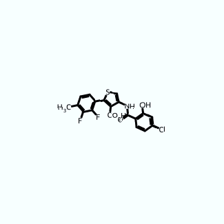 Cc1ccc(-c2scc(NC(=O)c3ccc(Cl)cc3O)c2C(=O)O)c(F)c1F